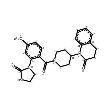 COc1ccc(C(=O)N2CCC(N3C(=O)CCc4ccccc43)CC2)c(N2CCOC2=O)c1